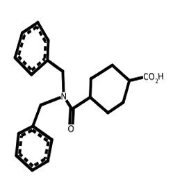 O=C(O)C1CCC(C(=O)N(Cc2ccccc2)Cc2ccccc2)CC1